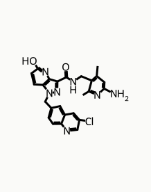 Cc1cc(N)nc(C)c1CNC(=O)c1nn(Cc2ccc3ncc(Cl)cc3c2)c2ccc(O)nc12